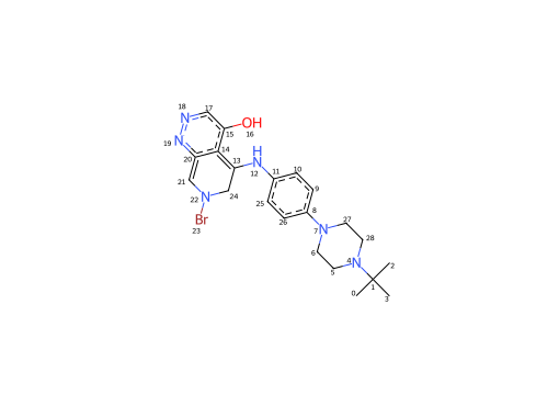 CC(C)(C)N1CCN(c2ccc(NC3=c4c(O)cnnc4=CN(Br)C3)cc2)CC1